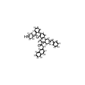 CC(c1cccc(-c2ccccc2C(=O)N2CCNCC2)c1)N(C(=O)Cc1ccc2ccccc2c1)C1CCN(Cc2ccccc2)CC1